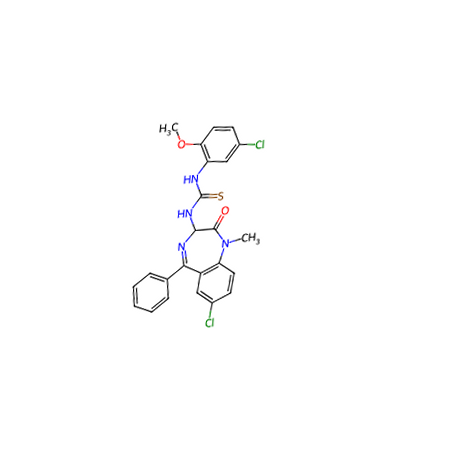 COc1ccc(Cl)cc1NC(=S)NC1N=C(c2ccccc2)c2cc(Cl)ccc2N(C)C1=O